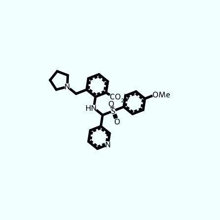 COc1ccc(S(=O)(=O)C(Nc2c(CN3CCCC3)cccc2C(=O)O)c2cccnc2)cc1